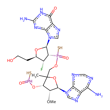 CO[C@H]1[C@H](n2cnc3c(N)ncnc32)OC(C)(COP(=O)(S)[C@@H]2[C@H](F)[C@@H](CCO)O[C@H]2n2cnc3c(=O)[nH]c(N)nc32)[C@H]1O[PH](=O)S